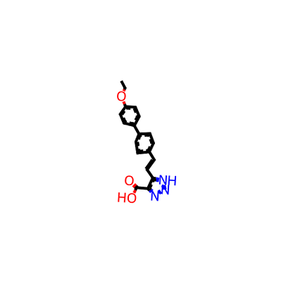 CCOc1ccc(-c2ccc(/C=C/c3[nH]nnc3C(=O)O)cc2)cc1